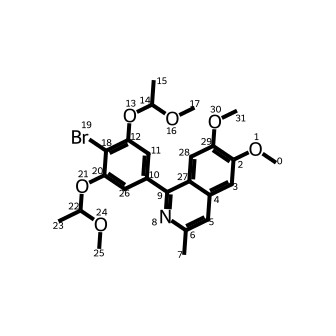 COc1cc2cc(C)nc(-c3cc(OC(C)OC)c(Br)c(OC(C)OC)c3)c2cc1OC